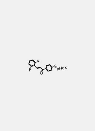 CCCCCCSc1ccc(C(=O)/C=C/c2c(F)cccc2F)cc1